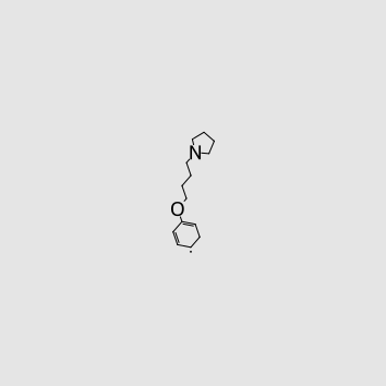 [CH]1C=CC(OCCCCN2CCCC2)=CC1